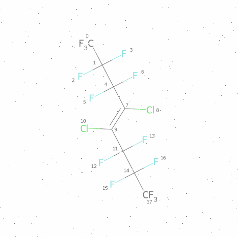 FC(F)(F)C(F)(F)C(F)(F)C(Cl)=C(Cl)C(F)(F)C(F)(F)C(F)(F)F